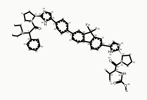 CCN(CC)C(C(=O)N1CCC[C@H]1c1ncc(-c2ccc(-c3ccc4c(c3)C(F)(F)c3cc(-c5cnc([C@@H]6CCCN6C(=O)[C@@H](NC(=O)OC)C(C)C)[nH]5)ccc3-4)cc2)[nH]1)c1ccccc1